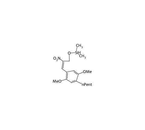 CCCCCc1cc(OC)c(C=C(CO[SiH](C)C)[N+](=O)[O-])cc1OC